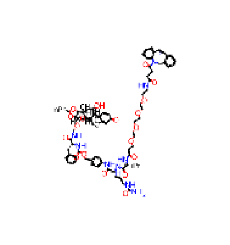 CCCC1O[C@@H]2C[C@H]3[C@@H]4CCC5=CC(=O)C=C[C@]5(C)[C@H]4[C@@H](O)C[C@]3(C)[C@]2(C(=O)COCNC(=O)[C@@H](Cc2ccccc2)NC(=O)OCc2ccc(NC(=O)[C@@H](CCCNC(N)=O)NC(=O)[C@H](NC(=O)CCOCCOCCOCCOCCNC(=O)CCC(=O)N3Cc4ccccc4/C=C\c4ccccc43)C(C)C)cc2)O1